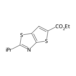 CCOC(=O)c1cc2sc(C(C)C)nc2s1